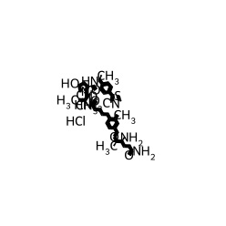 Cc1cc(CO[C@H](C)[C@@H](N)CCC(N)=O)ccc1CCCCC(=O)N[C@H](C(=O)N1C[C@H](O)C[C@H]1C(=O)N[C@@H](C)c1ccc(-c2scnc2C)cc1)C(C)(C)C.Cl